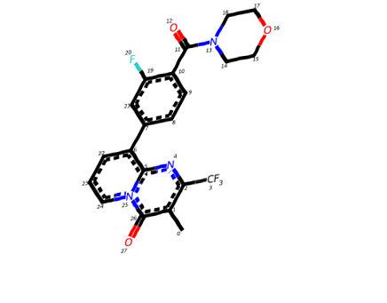 Cc1c(C(F)(F)F)nc2c(-c3ccc(C(=O)N4CCOCC4)c(F)c3)cccn2c1=O